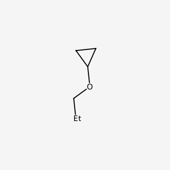 [CH2]CCOC1CC1